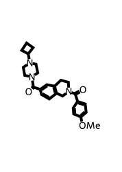 COc1ccc(C(=O)N2CCc3cc(C(=O)N4CCN(C5CCC5)CC4)ccc3C2)cc1